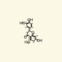 O=C1CC(c2ccc(O)c(O)c2)OC2=CC(O)CC(O)=C12